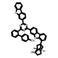 C[C@@]12CC3(c4cccc5c4oc4cc(-c6nc(-c7ccc8c(c7)oc7ccccc78)nc(-c7ccccc7-c7ccc(C#N)cc7)n6)ccc45)C[C@H]1CC[C@H]2C3